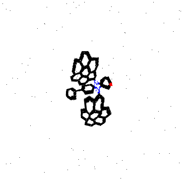 C1=CC(N(c2ccccc2)c2cc3ccc4ccc5ccc6ccc7ccc2c2c7c6c5c4c32)(N(c2ccccc2)c2cc3ccc4ccc5ccc6ccc7ccc2c2c7c6c5c4c32)CC=C1c1ccccc1